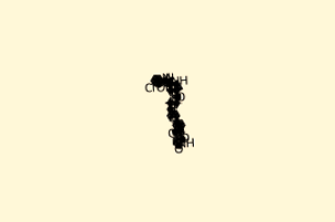 CCC12CNc3nnc(-c4cccc(Cl)c4O)cc3N1CCN(C(=O)N1C[C@H](C)N(CC3CCN(c4ccc5c(c4)C(=O)N([C@H]4CCC(=O)NC4=O)C5)CC3)C[C@H]1C)C2